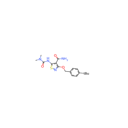 CN(C)C(=O)Nc1snc(OCc2ccc(C(C)(C)C)cc2)c1C(N)=O